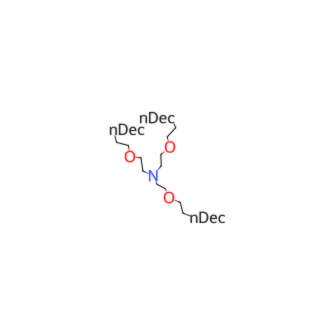 CCCCCCCCCCCCOCCN(CCOCCCCCCCCCCCC)CCOCCCCCCCCCCCC